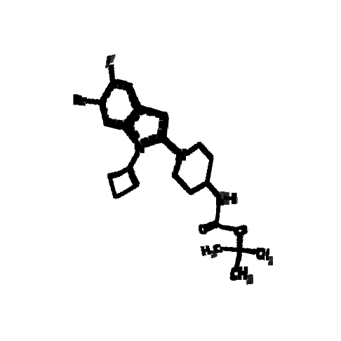 CC(C)(C)OC(=O)NC1CCN(c2cc3cc(F)c(Br)cc3n2C2CCC2)CC1